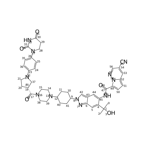 CC(C)(O)c1cc2nn(C3CCC(N4CCN(C(=O)[C@@H]5CCN(c6ccc(N7CCC(=O)NC7=O)cc6)C5)CC4)CC3)cc2cc1NC(=O)c1ccc2cc(C#N)cnn12